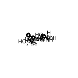 CC(C)C(Oc1cc(-c2ccccc2S(C)(=O)=O)ccc1CCNS(=O)(=O)c1cc(C(=N)NO)ccc1O)C(=O)O